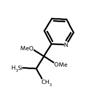 COC(OC)(c1ccccn1)C(C)[SiH3]